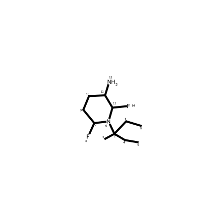 CCC(C)(CC)N1C(F)CCC(N)C1F